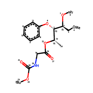 CCCO[C@@H](COC)[C@@H](Oc1ccccc1)[C@H](C)OC(=O)CNC(=O)OC(C)(C)C